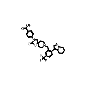 O=C(O)c1ccc(N2CC3(CCN(Cc4cc(C(F)(F)F)ccc4-c4cnn5c4CCCC5)CC3)OC2=O)cc1